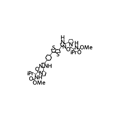 COC(=O)NC(C(=O)N1CC=CC1c1ncc(-c2ccc(-c3csc4c(-c5c[nH]c(C6CCCN6C(=O)C(NC(=O)OC)C(C)C)n5)csc34)cc2)[nH]1)C(C)C